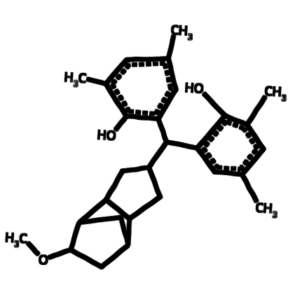 COC1CC2CC1C1CC(C(c3cc(C)cc(C)c3O)c3cc(C)cc(C)c3O)CC21